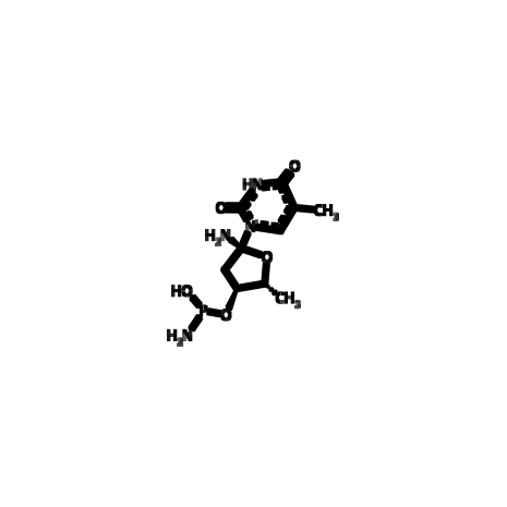 Cc1cn([C@@]2(N)C[C@H](OP(N)O)[C@@H](C)O2)c(=O)[nH]c1=O